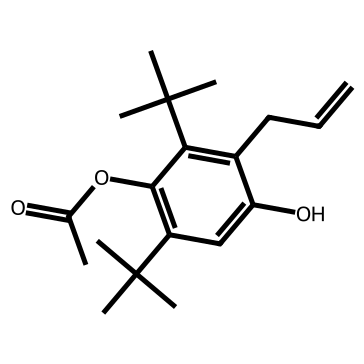 C=CCc1c(O)cc(C(C)(C)C)c(OC(C)=O)c1C(C)(C)C